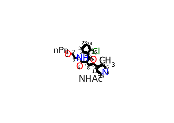 CCCOCCNC(=O)c1cc(-c2cc(NC(C)=O)ncc2C)oc1-c1ccccc1Cl